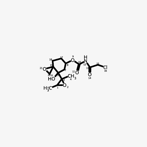 CC1OC1(C)C1(O)CC(OC(=O)NC(=O)CCl)CCC12CO2